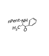 CCCCCNC(C)C(=O)c1ccccc1